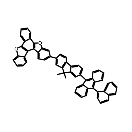 CC1(C)c2cc(-c3ccc4c(c3)oc3c5ccccc5c5oc6ccccc6c5c43)ccc2-c2ccc(-c3c4ccccc4c(-c4cccc5ccccc45)c4ccccc34)cc21